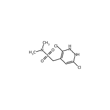 CN(C)S(=O)(=O)CC1=C(Cl)NNC(Cl)=C1